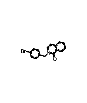 O=c1c2ccccc2ccn1Cc1ccc(Br)cc1